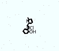 Cc1cccc(/C=C/c2ccccc2O)n1.Cl